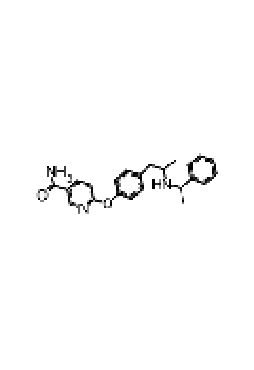 CC(Cc1ccc(Oc2ccc(C(N)=O)cn2)cc1)NC(C)c1ccccc1